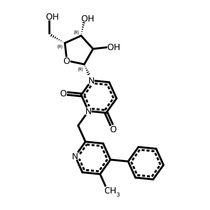 Cc1cnc(Cn2c(=O)ccn([C@@H]3O[C@H](CO)[C@H](O)C3O)c2=O)cc1-c1ccccc1